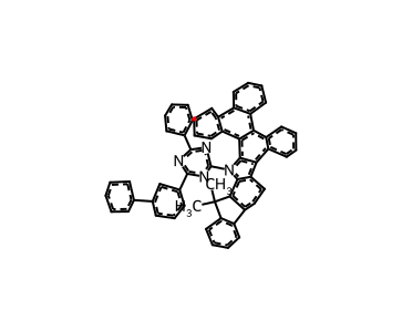 CC1(C)c2ccccc2-c2ccc3c4c5ccccc5c5c6ccccc6c6ccccc6c5c4n(-c4nc(-c5ccccc5)nc(-c5cccc(-c6ccccc6)c5)n4)c3c21